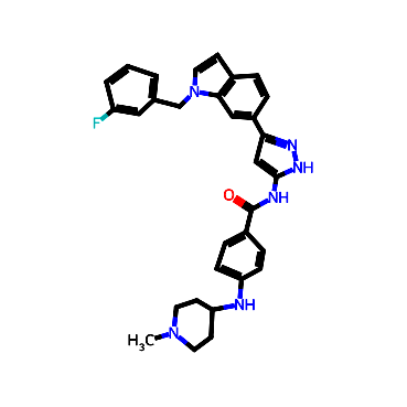 CN1CCC(Nc2ccc(C(=O)Nc3cc(-c4ccc5ccn(Cc6cccc(F)c6)c5c4)n[nH]3)cc2)CC1